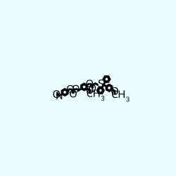 COc1ccc(C(SCCC(=O)Oc2ccc(COC(=O)Oc3ccc(N=O)cc3)cc2OC)(c2ccccc2)c2ccccc2)cc1